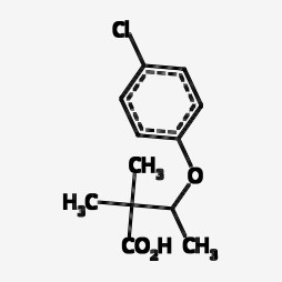 CC(Oc1ccc(Cl)cc1)C(C)(C)C(=O)O